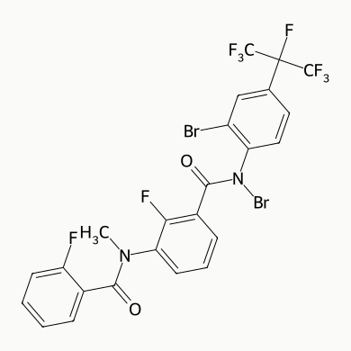 CN(C(=O)c1ccccc1F)c1cccc(C(=O)N(Br)c2ccc(C(F)(C(F)(F)F)C(F)(F)F)cc2Br)c1F